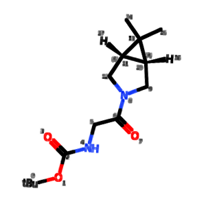 CC(C)(C)OC(=O)NCC(=O)N1C[C@@H]2[C@H](C1)C2(C)C